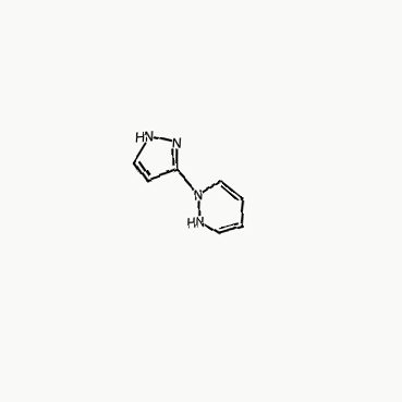 C1=CNN(c2cc[nH]n2)C=C1